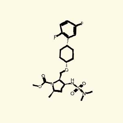 COC(=O)N1[C@H](C)C[C@H](NS(=O)(=O)N(C)C)[C@@H]1CO[C@H]1CC[C@@H](c2cc(F)ccc2F)CC1